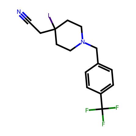 N#CCC1(I)CCN(Cc2ccc(C(F)(F)F)cc2)CC1